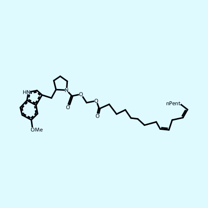 CCCCC/C=C\C/C=C\CCCCCCCC(=O)OCOC(=O)N1CCCC1Cc1c[nH]c2ccc(OC)cc12